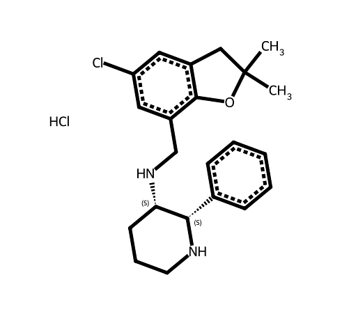 CC1(C)Cc2cc(Cl)cc(CN[C@H]3CCCN[C@H]3c3ccccc3)c2O1.Cl